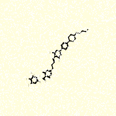 CCCCCC1CCC(c2ccc(-c3cc(F)c(/C=C/CCc4cc(F)c(C(F)(F)Oc5cc(F)c(F)c(F)c5)c(F)c4)c(F)c3)cc2)CC1